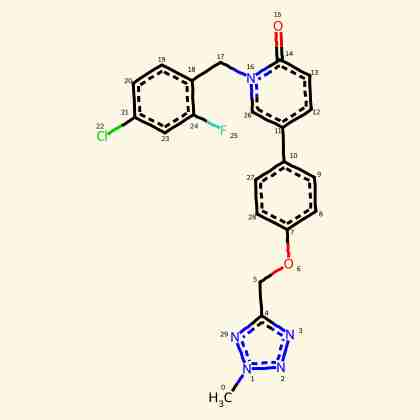 Cn1nnc(COc2ccc(-c3ccc(=O)n(Cc4ccc(Cl)cc4F)c3)cc2)n1